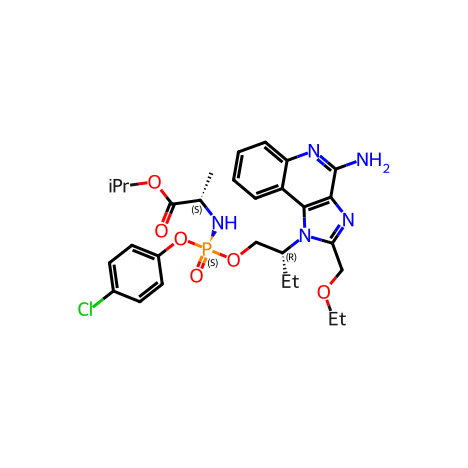 CCOCc1nc2c(N)nc3ccccc3c2n1[C@H](CC)CO[P@@](=O)(N[C@@H](C)C(=O)OC(C)C)Oc1ccc(Cl)cc1